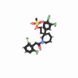 CS(=O)(=O)OCC[C@@]1(c2ccc(Cl)c(Cl)c2)CCCCN(C(=O)Cc2c(F)cccc2Cl)C1